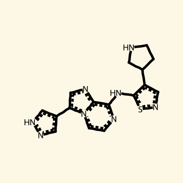 c1cn2c(-c3cn[nH]c3)cnc2c(Nc2sncc2C2CCNC2)n1